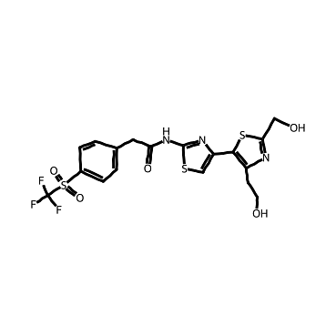 O=C(Cc1ccc(S(=O)(=O)C(F)(F)F)cc1)Nc1nc(-c2sc(CO)nc2CCO)cs1